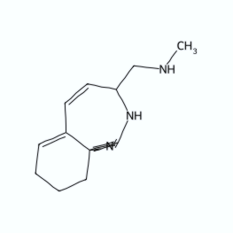 CNCC1C=CC2=CCCCC23CC=CN=C3N1